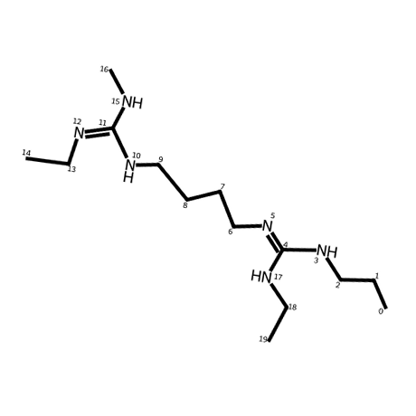 CCCN/C(=N/CCCCN/C(=N\CC)NC)NCC